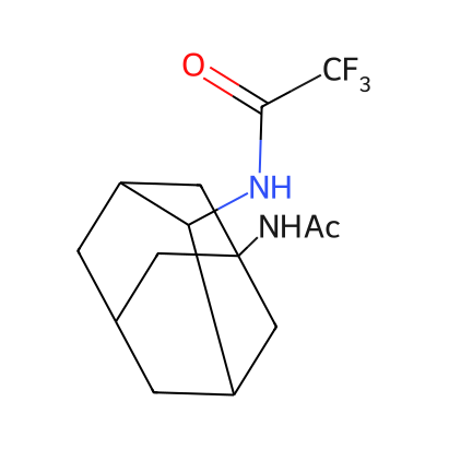 CC(=O)NC12CC3CC(C1)C(NC(=O)C(F)(F)F)C(C3)C2